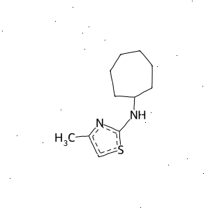 Cc1csc(NC2CCCCCC2)n1